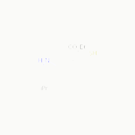 CCOC(=O)C(C)(S)C(N)CC(C)C